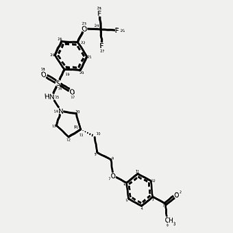 CC(=O)c1ccc(OCCC[C@@H]2CCN(NS(=O)(=O)c3ccc(OC(F)(F)F)cc3)C2)cc1